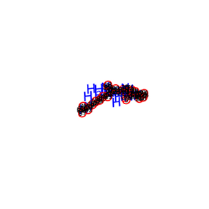 COC(=O)c1cc2c3c(cc(OC(=O)N(C)CCN(C)C(=O)OCc4ccc(NC(=O)[C@H](CCCNC(N)=O)NC(=O)CNC(=O)CCOCCOCCOCCOCCNC(=O)CCN5C(=O)CCC5=O)cc4)c2[nH]1)N(C(=O)c1cc2cc(OC)c(OC)c(OC)c2[nH]1)CC3